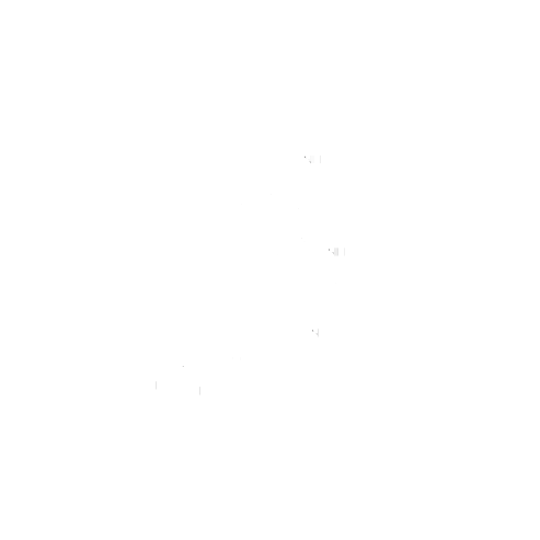 CC(NC(=O)c1c[nH]c2cccc(F)c12)c1ccc(OCC(F)(F)F)cn1